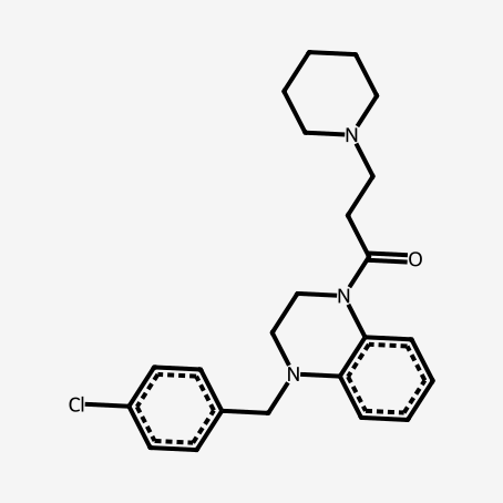 O=C(CCN1CCCCC1)N1CCN(Cc2ccc(Cl)cc2)c2ccccc21